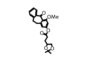 COc1cc(OC(=O)CCC2COC(C)(C)O2)cc2c1C(=O)c1ccccc1CC2